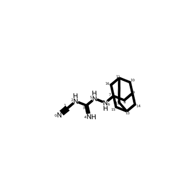 N#CNC(=N)NNC12CC3CC(CC(C3)C1)C2